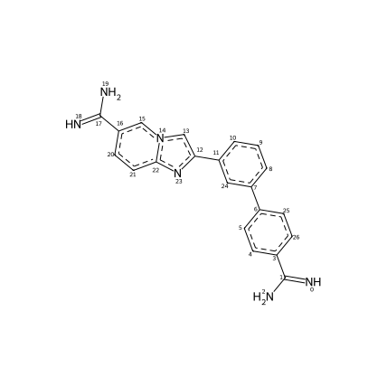 N=C(N)c1ccc(-c2cccc(-c3cn4cc(C(=N)N)ccc4n3)c2)cc1